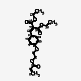 C=CC(=O)OCCOc1ccc(C=C(C(=O)OCC)C(=O)OCC)cc1